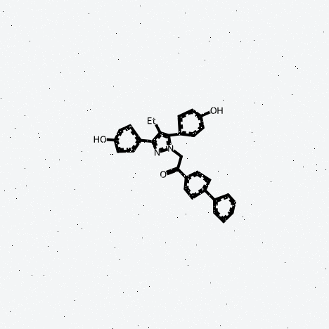 CCc1c(-c2ccc(O)cc2)nn(CC(=O)c2ccc(-c3ccccc3)cc2)c1-c1ccc(O)cc1